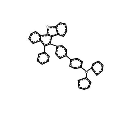 c1ccc(-c2c(-c3ccc(-c4ccc(N(c5ccccc5)c5ccccc5)cc4)cc3)c3c4ccccc4oc3c3ccccc23)cc1